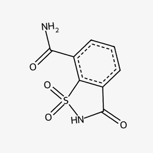 NC(=O)c1cccc2c1S(=O)(=O)NC2=O